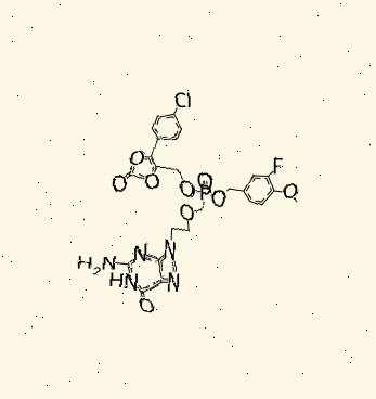 COc1ccc(COP(=O)(COCCn2cnc3c(=O)[nH]c(N)nc32)OCc2oc(=O)oc2-c2ccc(Cl)cc2)cc1F